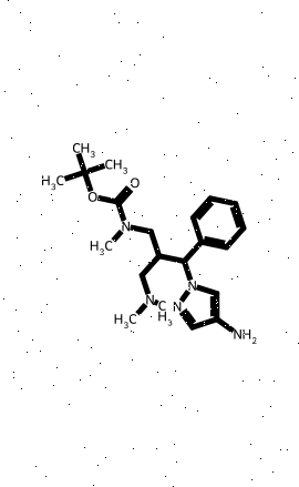 CN(C)CC(CN(C)C(=O)OC(C)(C)C)C(c1ccccc1)n1cc(N)cn1